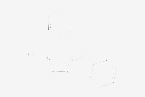 CCCCN1C(=O)OC(=Cc2ccccc2)C1c1ccccc1